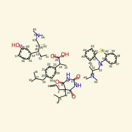 C=CCC1(CC(C)C)C(=O)NC(=O)NC1=O.CC(C)Cc1ccc(C(C)C(=O)O)cc1.CC(CN1c2ccccc2Sc2ccccc21)N(C)C.CC[C@@H](c1cccc(O)c1)[C@@H](C)CN(C)C